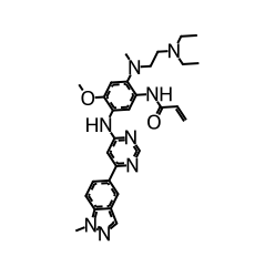 C=CC(=O)Nc1cc(Nc2cc(-c3ccc4c(cnn4C)c3)ncn2)c(OC)cc1N(C)CCN(CC)CC